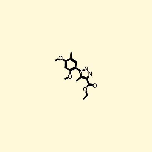 CCOC(=O)c1nnn(-c2cc(C)c(OC)cc2OC)c1C